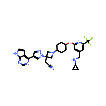 N#CCC1(n2cc(-c3ncnc4[nH]ccc34)cn2)CN(C2CCC(Oc3cc(CNC4CC4)cc(C(F)(F)F)n3)CC2)C1